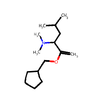 C=C(OCC1CCCC1)C(CC(C)C)N(C)C